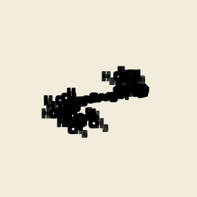 Cc1ncsc1-c1ccc([C@H](C)NC(=O)[C@@H]2C[C@@H](O)CN2C(=O)[C@@H](NC(=O)COCCOCCCCOc2cc(F)c([C@@H]3c4[nH]c5ccccc5c4C[C@@H](C)N3CC(C)(C)F)c(F)c2)C(C)(C)C)cc1